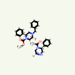 C[C@@H]1CN(C(=O)C(F)(F)F)[C@@H](c2ccccc2)CN1.C[C@@H]1CN(C(=O)OC(F)(F)F)[C@@H](c2ccccc2)CN1Cc1ccccc1